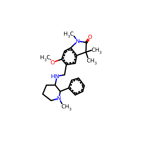 COc1cc2c(cc1CNC1CCCN(C)C1c1ccccc1)C(C)(C)C(=O)N2C